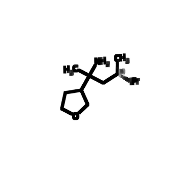 CC(C)[C@@H](C)CC(C)(N)C1CCOC1